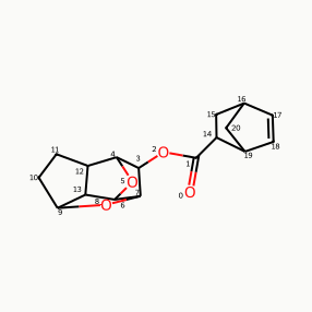 O=C(OC1C2OC3C1OC1CCC2C13)C1CC2C=CC1C2